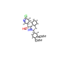 COc1ccc(C(Cc2ccccc2)NCC(O)c2ccc(Cl)nc2)cc1OC